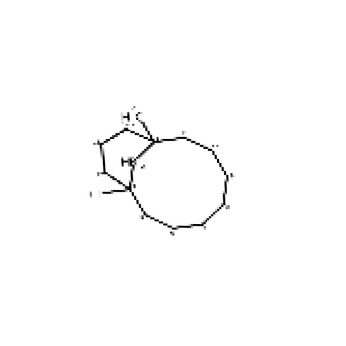 CC12BC(I)(CCCCCCC1)CCC2